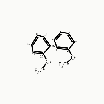 FC(F)(F)Oc1ccccc1.FC(F)(F)Oc1ccccc1